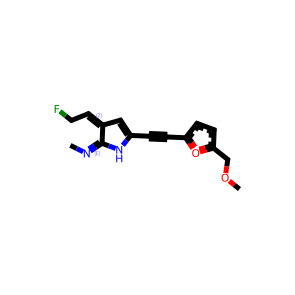 C/N=C1/NC(C#Cc2ccc(COC)o2)=C/C1=C/CF